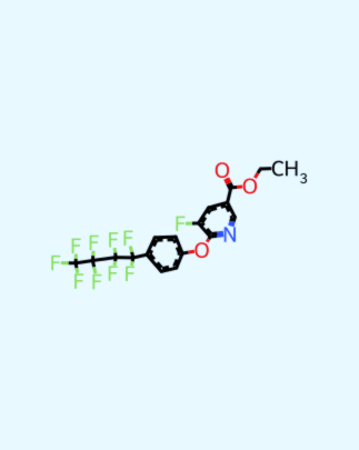 CCOC(=O)c1cnc(Oc2ccc(C(F)(F)C(F)(F)C(F)(F)C(F)(F)F)cc2)c(F)c1